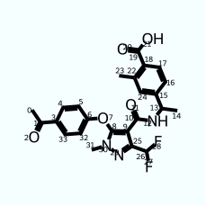 CC(=O)c1ccc(Oc2c(C(=O)NC(C)c3ccc(C(=O)O)c(C)c3)c(C(F)F)nn2C)cc1